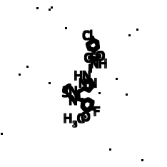 COc1cc(-c2nc3sccn3c2-c2ccnc(NCCNS(=O)(=O)c3ccc(Cl)cc3)n2)ccc1F